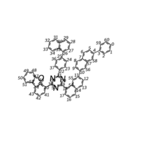 c1ccc(-c2ccc3ccc(-c4ccc5cccc(-c6nc(-c7ccc(-c8cccc9ccccc89)cc7)nc(-c7cccc8c7oc7ccccc78)n6)c5c4)cc3c2)cc1